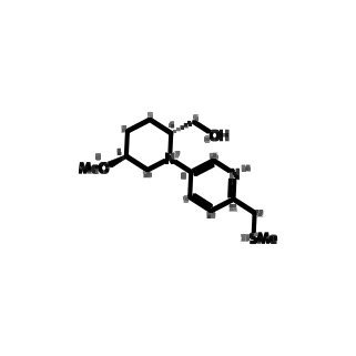 CO[C@H]1CC[C@H](CO)N(c2ccc(CSC)nc2)C1